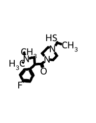 CC(S)N1CCN(C(=O)C(CN(C)C)c2ccc(F)cc2)CC1